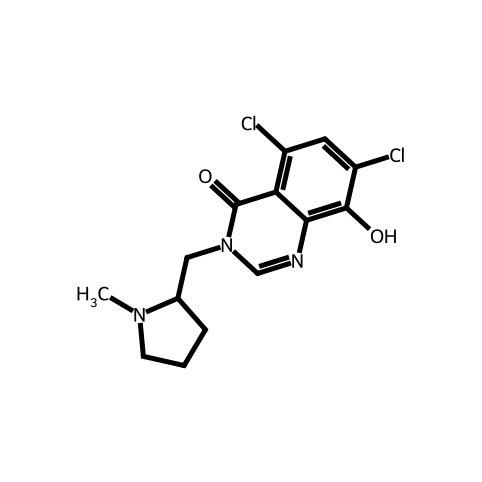 CN1CCCC1Cn1cnc2c(O)c(Cl)cc(Cl)c2c1=O